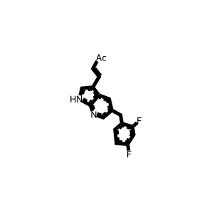 CC(=O)/C=C/c1c[nH]c2ncc(Cc3ccc(F)cc3F)cc12